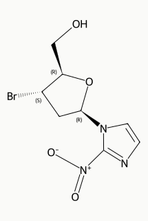 O=[N+]([O-])c1nccn1[C@H]1C[C@H](Br)[C@@H](CO)O1